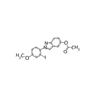 COc1ccc(-n2cc3cc(OC(C)=O)ccc3n2)c(I)c1